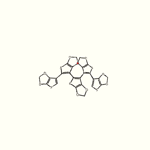 c1sc2c(c1-c1sc3c(c1-c1sc4c(c1-c1c(-c5csc6c5OCO6)sc5c1OCO5)OCO4)OCO3)OCO2